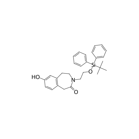 CC(C)(C)[Si](OCCN1CCc2cc(O)ccc2CC1=O)(c1ccccc1)c1ccccc1